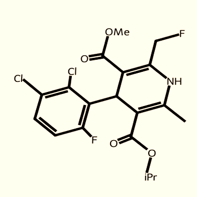 COC(=O)C1=C(CF)NC(C)=C(C(=O)OC(C)C)C1c1c(F)ccc(Cl)c1Cl